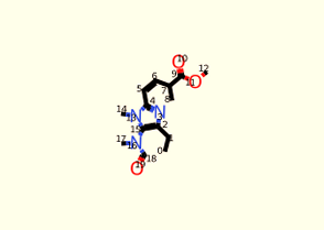 CCc1nc(/C=C\C(C)C(=O)OC)n(C)c1N(C)C=O